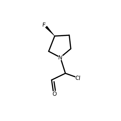 O=CC(Cl)N1CC[C@H](F)C1